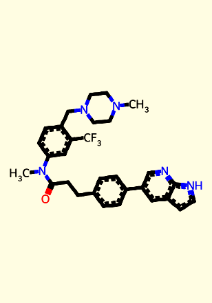 CN1CCN(Cc2ccc(N(C)C(=O)CCc3ccc(-c4cnc5[nH]ccc5c4)cc3)cc2C(F)(F)F)CC1